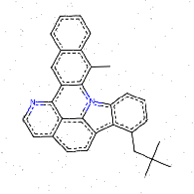 Cc1c2ccccc2cc2c3nccc4ccc5c6c(CC(C)(C)C)cccc6n(c12)c5c43